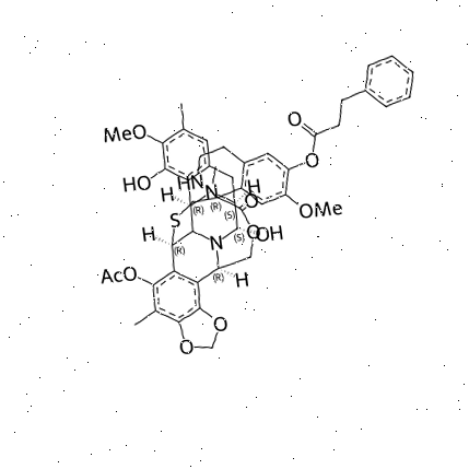 COc1cc2c(cc1OC(=O)CCc1ccccc1)CCN[C@]21CS[C@@H]2c3c(OC(C)=O)c(C)c4c(c3[C@H](COC1=O)N1C2[C@H]2c3c(cc(C)c(OC)c3O)C[C@@H]([C@@H]1O)N2C)OCO4